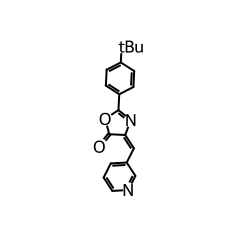 CC(C)(C)c1ccc(C2=NC(=Cc3cccnc3)C(=O)O2)cc1